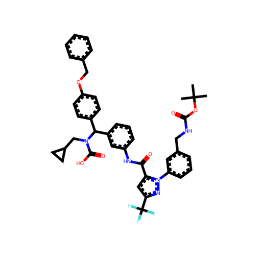 CC(C)(C)OC(=O)NCc1cccc(-n2nc(C(F)(F)F)cc2C(=O)Nc2cccc(C(c3ccc(OCc4ccccc4)cc3)N(CC3CC3)C(=O)O)c2)c1